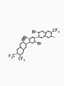 Cc1cc2cc(-c3cc(Br)c(-c4cc5cc(C(F)(F)F)c(C(F)(F)F)cc5cc4Br)cc3Br)c(Br)cc2cc1C(F)(F)F